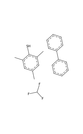 Cc1cc(C)c(S)c(C)c1.FC(F)F.c1ccc(-c2ccccc2)cc1